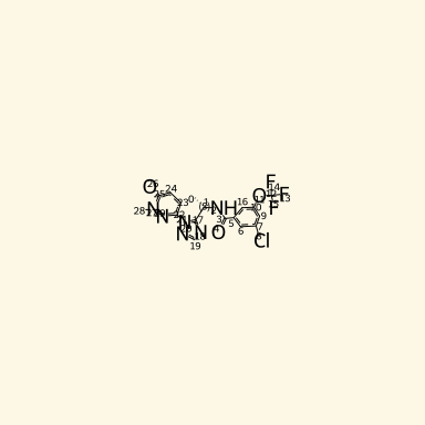 C[C@H](NC(=O)c1cc(Cl)cc(OC(F)(F)F)c1)c1ncnn1-c1ccc(=O)n(C)n1